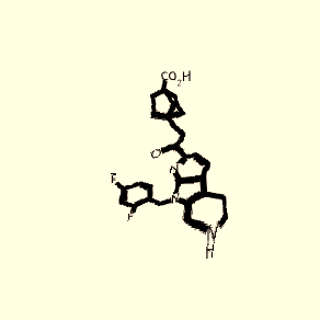 O=C(CC12CCC(C(=O)O)(CC1)C2)c1ccc2c3c(n(Cc4ccc(F)cc4F)c2n1)CNCC3